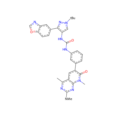 CNc1nc(C)c2cc(-c3cccc(NC(=O)Nc4cn(C(C)(C)C)nc4-c4ccc5ocnc5c4)c3)c(=O)n(C)c2n1